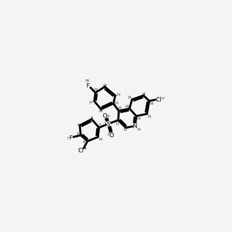 O=S(=O)(c1ccc(F)c(Cl)c1)c1cnc2cc(Cl)ccc2c1-c1ccc(F)cc1